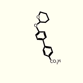 O=C(O)c1ccc(-c2ccc(OC3CCCCO3)cc2)cc1